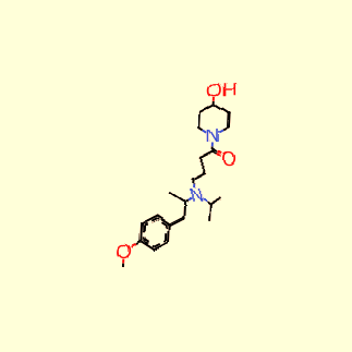 COc1ccc(CC(C)N(CCCC(=O)N2CCC(O)CC2)C(C)C)cc1